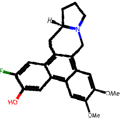 COc1cc2c3c(c4cc(F)c(O)cc4c2cc1OC)C[C@@H]1CCCN1C3